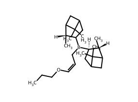 CCCO/C=C\CB(C1CC2CC([C@H]1C)C2(C)C)[C@@H]1CC2CC([C@H]1C)C2(C)C